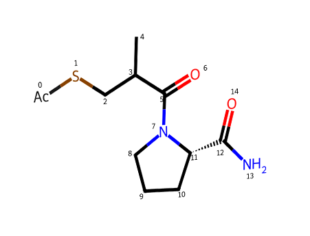 CC(=O)SCC(C)C(=O)N1CCC[C@H]1C(N)=O